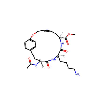 COC(=O)[C@@H]1C/C=C\COc2ccc(cc2)C[C@H](NC(C)=O)C(=O)N[C@H](CCCCN)C(=O)N1